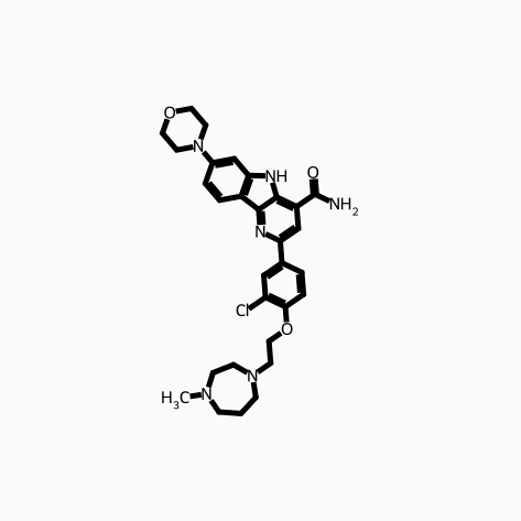 CN1CCCN(CCOc2ccc(-c3cc(C(N)=O)c4[nH]c5cc(N6CCOCC6)ccc5c4n3)cc2Cl)CC1